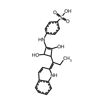 CCC(=C1C=Cc2ccccc2N1)C1C(O)=C(Nc2ccc(S(=O)(=O)O)cc2)C1O